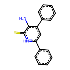 Nc1c(-c2ccccc2)cc(-c2ccccc2)[nH]c1=S